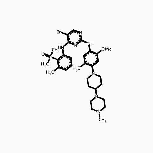 COc1cc(N2CCC(N3CCN(C)CC3)CC2)c(C)cc1Nc1ncc(Br)c(Nc2cccc(C)c2P(C)(C)=O)n1